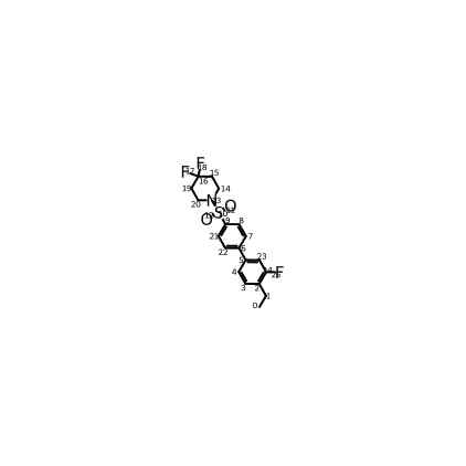 CCc1ccc(-c2ccc(S(=O)(=O)N3CCC(F)(F)CC3)cc2)cc1F